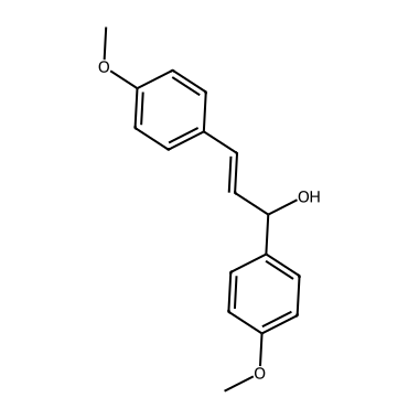 COc1ccc(/C=C/C(O)c2ccc(OC)cc2)cc1